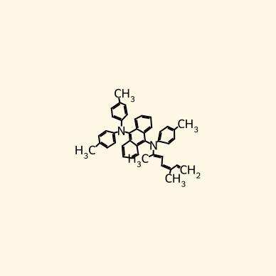 C=C/C(C)=C\C=C(/C)N(c1ccc(C)cc1)c1c2ccccc2c(N(c2ccc(C)cc2)c2ccc(C)cc2)c2ccccc12